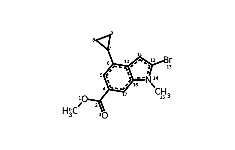 COC(=O)c1cc(C2CC2)c2cc(Br)n(C)c2c1